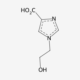 O=C(O)c1cn(CCO)cn1